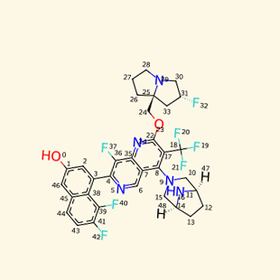 Oc1cc(-c2ncc3c(N4C[C@H]5CC[C@@H](C4)N5)c(C(F)(F)F)c(OC[C@@]45CCCN4C[C@H](F)C5)nc3c2F)c2c(F)c(F)ccc2c1